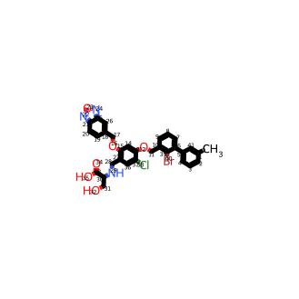 Cc1cccc(-c2cccc(COc3cc(OCc4ccc5nonc5c4)c(CNC(CO)C(=O)O)cc3Cl)c2Br)c1